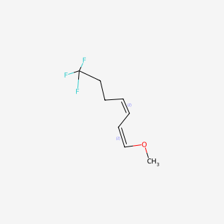 CO/C=C\C=C/CCC(F)(F)F